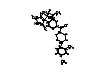 COc1cc(C(=O)N2CCN(c3ncc(C)cc3C)CC2)ccc1C1(C(C)(F)F)NC(=O)NC1=O